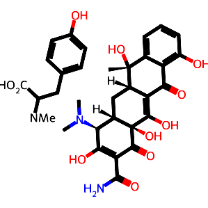 CN(C)[C@@H]1C(O)=C(C(N)=O)C(=O)[C@@]2(O)C(O)=C3C(=O)c4c(O)cccc4[C@@](C)(O)[C@H]3C[C@@H]12.CNC(Cc1ccc(O)cc1)C(=O)O